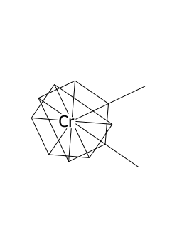 C[C]12[CH]3[CH]4[CH]5[C]1(C)[Cr]43521678[CH]2[CH]1[CH]6[CH]7[CH]28